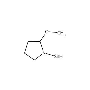 COC1CCC[N]1[SnH]